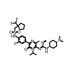 C=N/C(=N\c1c(C)nc(-c2ccc(NS(=O)(=O)CC3(C(F)F)CCCC3)c(F)c2)c(=O)n1C(C)C)N[C@H]1CC[C@H](N(C)C)CC1